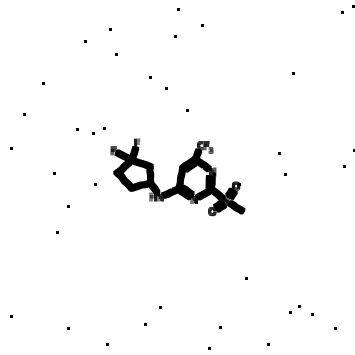 CS(=O)(=O)c1nc(NC2CCC(F)(F)C2)cc(C(F)(F)F)n1